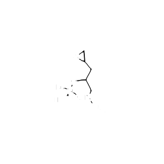 CC(C)(C)[Si](C)(C)OC(CNC(=O)O)CC1CO1